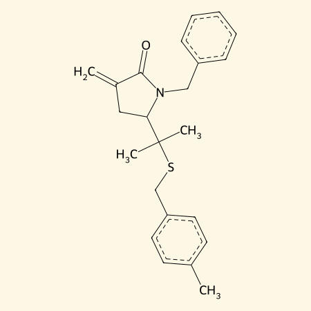 C=C1CC(C(C)(C)SCc2ccc(C)cc2)N(Cc2ccccc2)C1=O